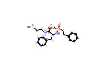 COP(=O)(CCc1ccccc1)N[C@@H](Cc1ccccc1)C(=O)NCCC(=O)O